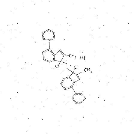 CC1=Cc2c(-c3ccccc3)cccc2C1(Cl)CCC1(Cl)C(C)=Cc2c(-c3ccccc3)cccc21.[Hf]